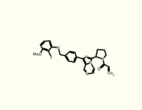 C=CC(=O)N1CCCC1c1nc(-c2ccc(COc3cccc(OC)c3F)cc2)c2cnccn12